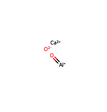 [Ca+2].[O-2].[O]=[Al+]